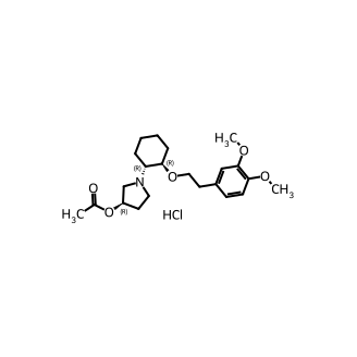 COc1ccc(CCO[C@@H]2CCCC[C@H]2N2CC[C@@H](OC(C)=O)C2)cc1OC.Cl